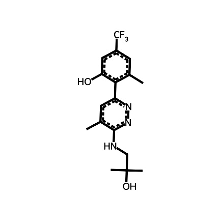 Cc1cc(-c2c(C)cc(C(F)(F)F)cc2O)nnc1NCC(C)(C)O